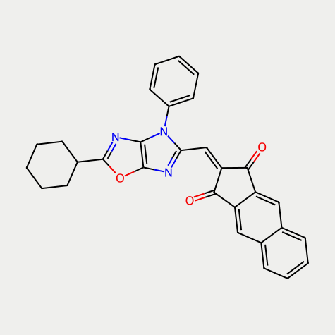 O=C1C(=Cc2nc3oc(C4CCCCC4)nc3n2-c2ccccc2)C(=O)c2cc3ccccc3cc21